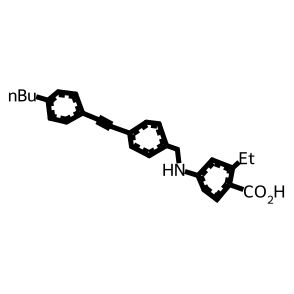 CCCCc1ccc(C#Cc2ccc(CNc3ccc(C(=O)O)c(CC)c3)cc2)cc1